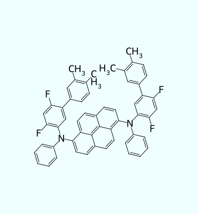 Cc1ccc(-c2cc(N(c3ccccc3)c3ccc4ccc5c(N(c6ccccc6)c6cc(-c7ccc(C)c(C)c7)c(F)cc6F)ccc6ccc3c4c65)c(F)cc2F)cc1C